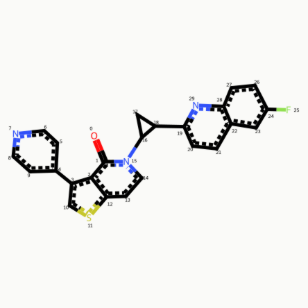 O=c1c2c(-c3ccncc3)csc2ccn1C1CC1c1ccc2cc(F)ccc2n1